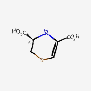 O=C(O)C1=CSC[C@@H](C(=O)O)N1